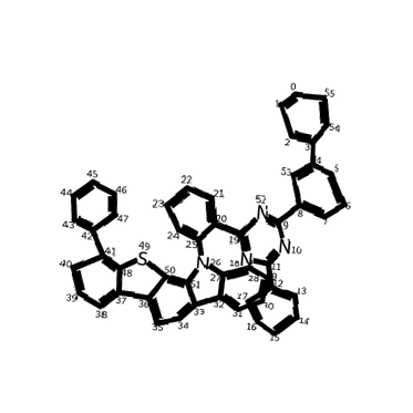 c1ccc(-c2cccc(-c3nc(-c4ccccc4)nc(-c4ccccc4-n4c5ccccc5c5ccc6c7cccc(-c8ccccc8)c7sc6c54)n3)c2)cc1